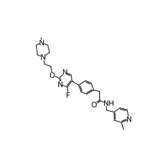 Cc1cc(CNC(=O)Cc2ccc(-c3cnc(OCCN4CCN(C)CC4)nc3F)cc2)ccn1